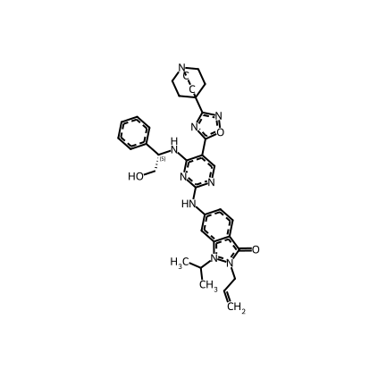 C=CCn1c(=O)c2ccc(Nc3ncc(-c4nc(C56CCN(CC5)CC6)no4)c(N[C@H](CO)c4ccccc4)n3)cc2n1C(C)C